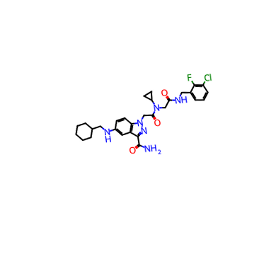 NC(=O)c1nn(CC(=O)N(CC(=O)NCc2cccc(Cl)c2F)C2CC2)c2ccc(NCC3CCCCC3)cc12